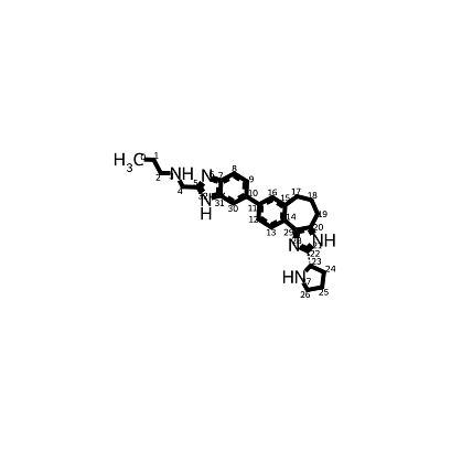 CCCNCc1nc2ccc(-c3ccc4c(c3)CCCc3[nH]c([C@@H]5CCCN5)nc3-4)cc2[nH]1